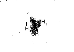 CC(=O)O[C@H]1[C@H]2O[C@]23[C@@H]2CC[C@@H]4C[C@@H](O)CC[C@]4(C)C2CC[C@]3(C)[C@H]1c1ccc(=O)oc1